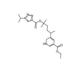 CCOC(=O)C1=CNCC(C(C)CCC(C)(C)OC(=O)c2cn(C(C)C)nn2)=C1